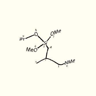 CNCC(C)C[Si](OC)(OC)OC(C)C